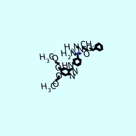 COCCOc1cc2ncnc(Nc3cccc(/C(N)=C/N(N)[C@@H](C)C(=O)OCc4ccccc4)c3)c2cc1OCCOC